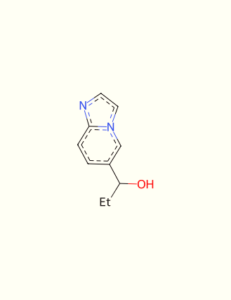 CCC(O)c1ccc2nccn2c1